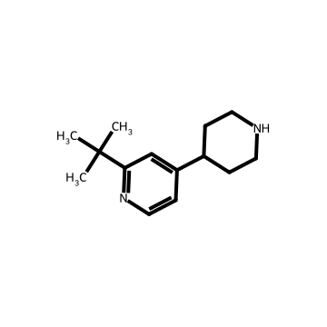 CC(C)(C)c1cc(C2CCNCC2)ccn1